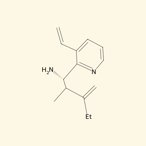 C=Cc1cccnc1[C@@H](N)C(C)C(=C)CC